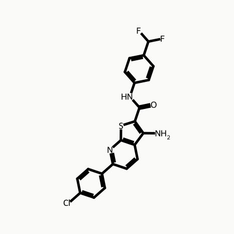 Nc1c(C(=O)Nc2ccc(C(F)F)cc2)sc2nc(-c3ccc(Cl)cc3)ccc12